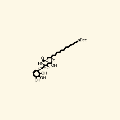 CCCCCCCCCCCCCCCCCCCCCCCCOC(=O)NC(COC1C=CCC(O)C(O)C1O)C(O)CC(O)CC